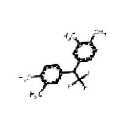 Cc1ccc(C(c2ccc(C)c(C)c2)C(F)(F)F)cc1C